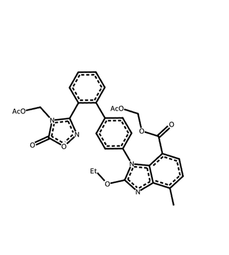 CCOc1nc2c(C)ccc(C(=O)OCOC(C)=O)c2n1-c1ccc(-c2ccccc2-c2noc(=O)n2COC(C)=O)cc1